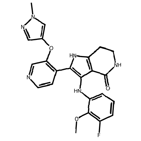 COc1c(F)cccc1Nc1c(-c2ccncc2Oc2cnn(C)c2)[nH]c2c1C(=O)NCC2